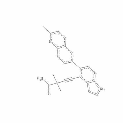 Cc1ccc2cc(-c3cnc4[nH]ccc4c3C#CC(C)(C)C(N)=O)ccc2n1